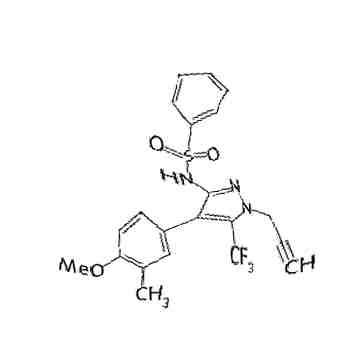 C#CCn1nc(NS(=O)(=O)c2ccccc2)c(-c2ccc(OC)c(C)c2)c1C(F)(F)F